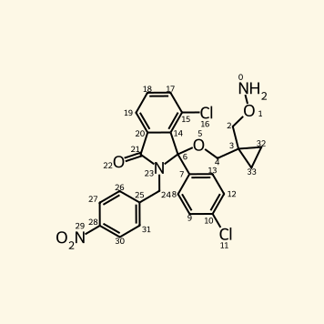 NOCC1(COC2(c3ccc(Cl)cc3)c3c(Cl)cccc3C(=O)N2Cc2ccc([N+](=O)[O-])cc2)CC1